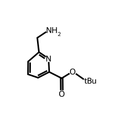 CC(C)(C)OC(=O)c1cccc(CN)n1